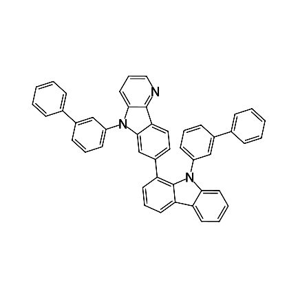 c1ccc(-c2cccc(-n3c4cc(-c5cccc6c7ccccc7n(-c7cccc(-c8ccccc8)c7)c56)ccc4c4ncccc43)c2)cc1